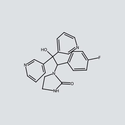 O=C1NCCN1C(c1ccc(F)cc1)C(O)(c1cccnc1)c1cccnc1